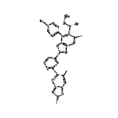 CC(=O)[C@@H](OC(C)(C)C)c1c(C)cc2nc(-c3ccnc(-c4cc5cn(C)nc5cc4C)c3)sc2c1-c1ccc(Cl)cc1